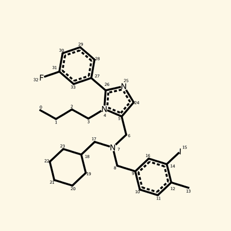 CCCCn1c(CN(Cc2ccc(C)c(I)c2)CC2CCCCC2)cnc1-c1cccc(F)c1